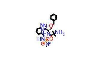 CN(C)S(=O)(=O)NCc1cccc2nnc([C@@H](COCc3ccccc3)NC(=O)C(C)(C)N)n12